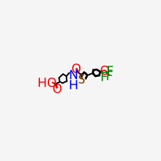 O=C(NCC1CCC(C(=O)O)CC1)c1cc(-c2ccc(OC(F)(F)F)cc2)cs1